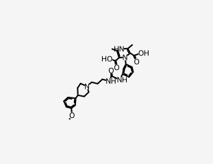 COc1cccc(C2CCN(CCCNC(=O)Nc3cccc(N4C(C(=O)O)=C(C)NC(C)=C4C(=O)O)c3)CC2)c1